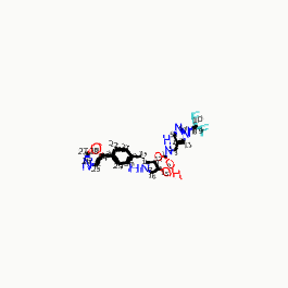 O=C(NCc1cnn(C(F)F)c1)O[C@@H]1[C@@H](O)CN[C@@H]1Cc1ccc(-c2cnco2)cc1